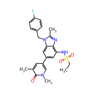 CCS(=O)(=O)Nc1cc(-c2cc(C)c(=O)n(C)c2)cc2c1nc(C)n2Cc1ccc(F)cc1